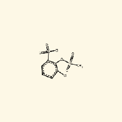 CS(=O)(=O)Oc1c(Cl)cccc1S(=O)(=O)Cl